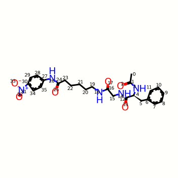 CC(=O)N[C@@H](Cc1ccccc1)C(=O)NCC(=O)NCCCCCC(=O)Nc1ccc([N+](=O)[O-])cc1